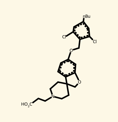 CCCCc1cc(Cl)c(COc2ccc3c(c2)OCC32CCN(CCC(=O)O)CC2)c(Cl)c1